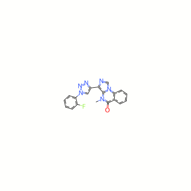 Cn1c(=O)c2ccccc2n2cnc(-c3cn(-c4ccccc4F)nn3)c12